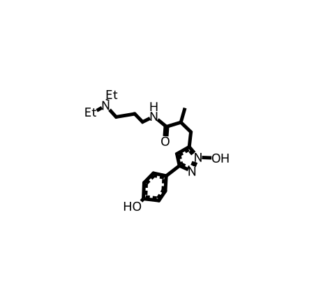 CCN(CC)CCCNC(=O)C(C)Cc1cc(-c2ccc(O)cc2)nn1O